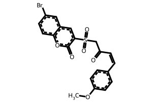 COc1ccc(/C=C\C(=O)CS(=O)(=O)c2cc3cc(Br)ccc3oc2=O)cc1